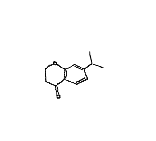 CC(C)c1ccc2c(c1)OCCC2=O